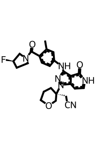 Cc1cc(Nc2nn([C@]3(CC#N)CCCOC3)c3cc[nH]c(=O)c23)ccc1C(=O)N1CC[C@@H](F)C1